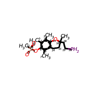 Cc1c(C)c2c(c(C)c1OS(C)(=O)=O)CCC(C)(CCP)O2